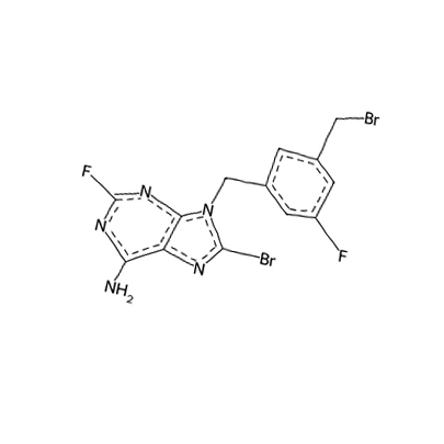 Nc1nc(F)nc2c1nc(Br)n2Cc1cc(F)cc(CBr)c1